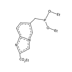 CCOC(=O)c1cn2cc(CP(OCC)OCC)ccc2n1